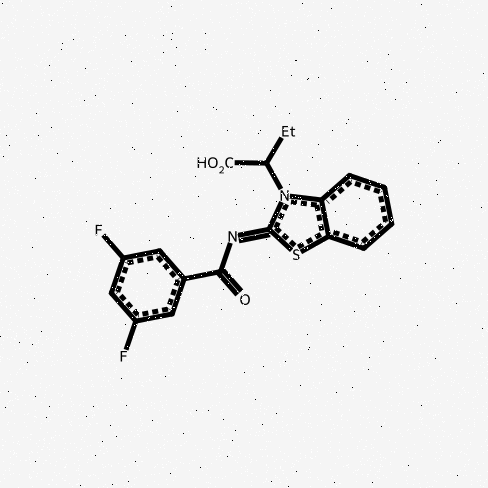 CCC(C(=O)O)n1c(=NC(=O)c2cc(F)cc(F)c2)sc2ccccc21